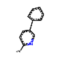 CCCc1ccc(-c2ccccc2)cn1